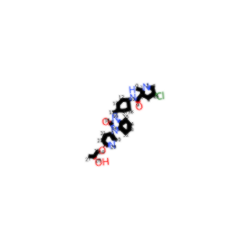 Cc1ncc(Cl)cc1C(=O)NC1CCC(Cn2c(=O)n(-c3ccc(OCC(C)O)nc3)c3ccccc32)CC1